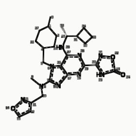 CC1CCC(Cn2c(N(C)Cc3ccon3)nc3nc(-c4noc(=O)[nH]4)nc(N[C@H](C)C4CCC4)c32)CC1